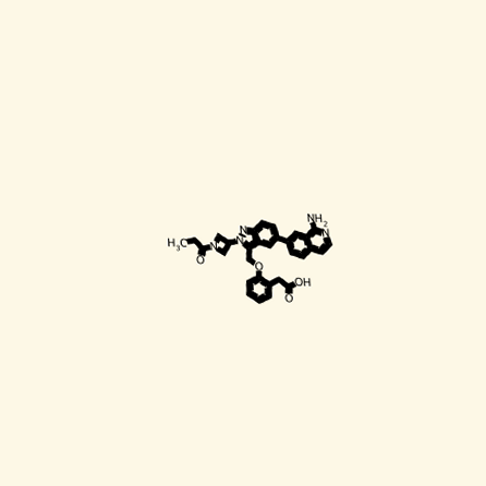 CCC(=O)N1CC(n2nc3ccc(-c4ccc5ccnc(N)c5c4)cc3c2COc2ccccc2CC(=O)O)C1